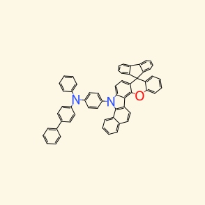 c1ccc(-c2ccc(N(c3ccccc3)c3ccc(-n4c5ccc6c(c5c5ccc7ccccc7c54)Oc4ccccc4C64c5ccccc5-c5ccccc54)cc3)cc2)cc1